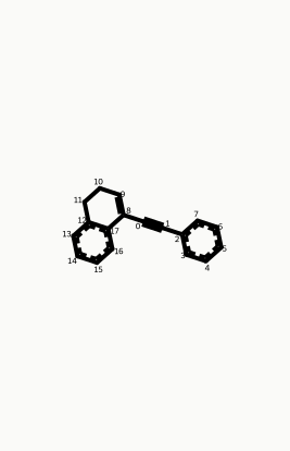 C(#Cc1ccccc1)C1=CCCc2ccccc21